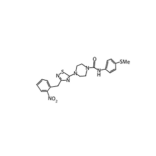 CSc1ccc(NC(=O)N2CCN(c3nc(Cc4ccccc4[N+](=O)[O-])ns3)CC2)cc1